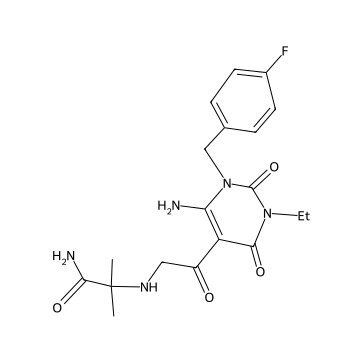 CCn1c(=O)c(C(=O)CNC(C)(C)C(N)=O)c(N)n(Cc2ccc(F)cc2)c1=O